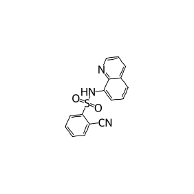 N#Cc1ccccc1S(=O)(=O)Nc1cccc2cccnc12